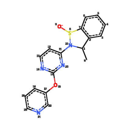 CC1c2ccccc2[S+]([O-])N1c1ccnc(Oc2cccnc2)n1